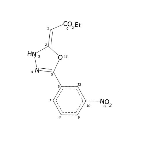 CCOC(=O)C=C1NN=C(c2cccc([N+](=O)[O-])c2)O1